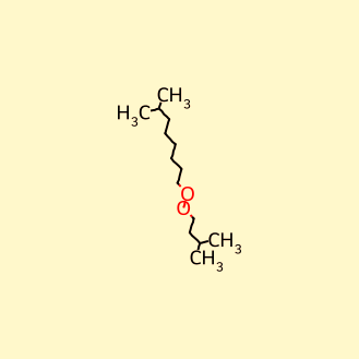 CC(C)CCCCCCOOCCC(C)C